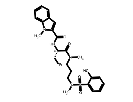 CC(C)C[C@H](NC(=O)c1cc2ccccc2n1C)C(=O)N(C)CCCN(C)S(=O)(=O)c1ccccc1C#N